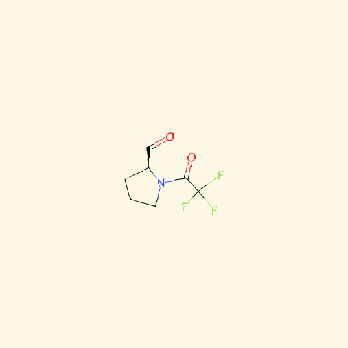 O=C[C@@H]1CCCN1C(=O)C(F)(F)F